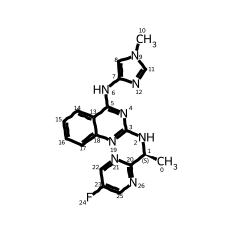 C[C@H](Nc1nc(Nc2cn(C)cn2)c2ccccc2n1)c1ncc(F)cn1